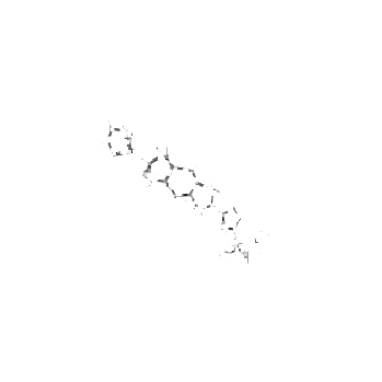 Cc1ccc(-c2nc3cc4sc(-c5ccc([Si](C(C)C)(C(C)C)C(C)C)s5)nc4cc3s2)s1